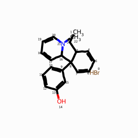 Br.CCC1C=CC=CC1(c1cccc(O)c1)C1C=CC=CN1C